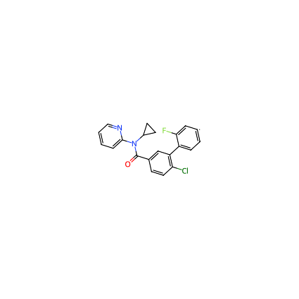 O=C(c1ccc(Cl)c(-c2cc[c]cc2F)c1)N(c1ccccn1)C1CC1